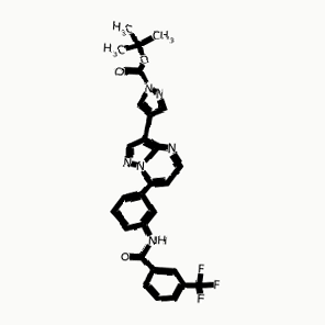 CC(C)(C)OC(=O)n1cc(-c2cnn3c(-c4cccc(NC(=O)c5cccc(C(F)(F)F)c5)c4)ccnc23)cn1